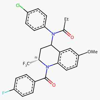 CCC(=O)N(c1ccc(Cl)cc1)C1C[C@@H](C(F)(F)F)N(C(=O)c2ccc(F)cc2)c2ccc(OC)cc21